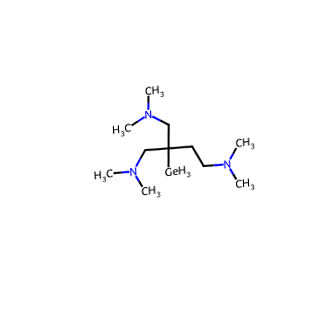 CN(C)CC[C]([GeH3])(CN(C)C)CN(C)C